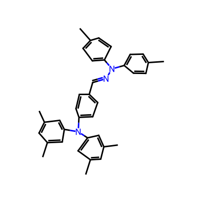 Cc1ccc(N(N=Cc2ccc(N(c3cc(C)cc(C)c3)c3cc(C)cc(C)c3)cc2)c2ccc(C)cc2)cc1